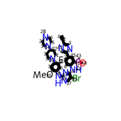 C#Cc1cnc(-c2ccc(Nc3nc(Nc4cc(CC)c(N5CCC(N6CCN(C)CC6)CC5)cc4OC)ncc3Br)c(P(C)(C)=O)c2)cn1